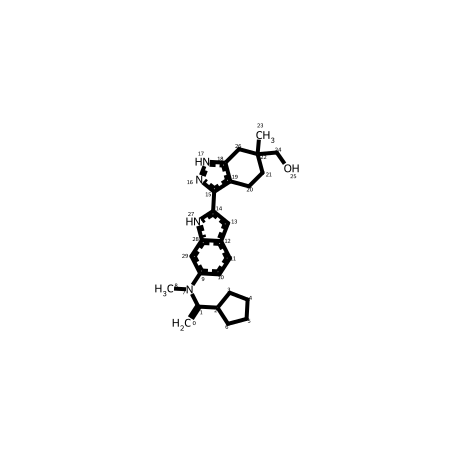 C=C(C1CCCC1)N(C)c1ccc2cc(-c3n[nH]c4c3CCC(C)(CO)C4)[nH]c2c1